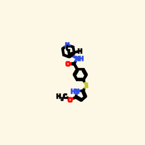 COc1ccc(Sc2ccc(C(=O)N[C@H]3CN4CCC3CC4)cc2)[nH]1